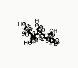 CO/C(C=c1s/c(=c2/s/c(=C3/OC(=S)N(CC(=O)O)C3=O)n(CC(=O)O)c2=O)n(CC(=O)O)c1=O)=C1\Sc2cc3c(cc2N1CC(=O)O)OCO3